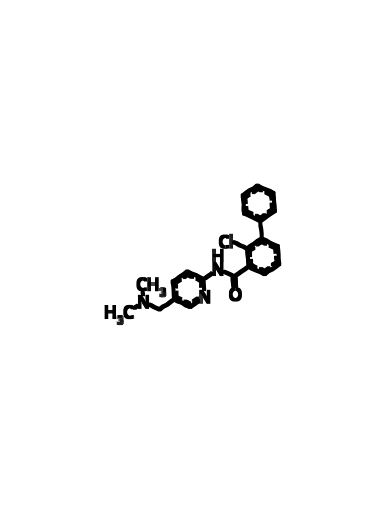 CN(C)Cc1ccc(NC(=O)c2cccc(-c3ccccc3)c2Cl)nc1